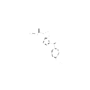 CSc1ccc(C(=O)c2ccc3n2CCC3C(=O)OC(C)(C)C)cc1